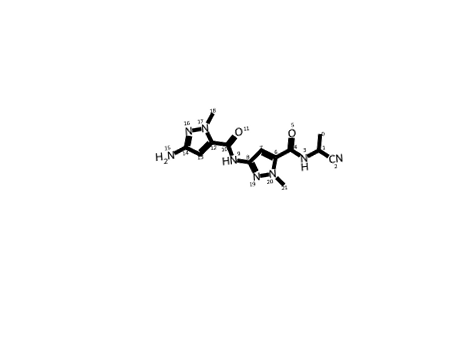 CC(C#N)NC(=O)c1cc(NC(=O)c2cc(N)nn2C)nn1C